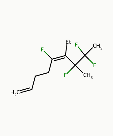 C=CCCC(F)=C(CC)C(C)(F)C(C)(F)F